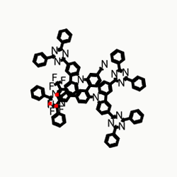 N#Cc1ccc(-c2cc(-c3cc(C(F)(F)F)cc(C(F)(F)F)c3)ccc2-n2c3ccc(-c4nc(-c5ccccc5)nc(-c5ccccc5)n4)cc3c3cc(-c4nc(-c5ccccc5)nc(-c5ccccc5)n4)ccc32)c(-n2c3ccc(-c4nc(-c5ccccc5)nc(-c5ccccc5)n4)cc3c3cc(-c4nc(-c5ccccc5)nc(-c5ccccc5)n4)ccc32)c1